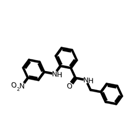 O=C(NCc1ccccc1)c1ccccc1Nc1cccc([N+](=O)[O-])c1